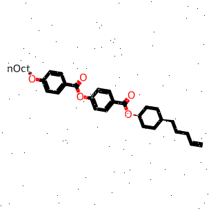 C=CCCC[C@H]1CC[C@H](OC(=O)c2ccc(OC(=O)c3ccc(OCCCCCCCC)cc3)cc2)CC1